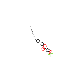 CCCCCCCCCC[C@H]1CC[C@H](c2ccc(OC(=O)c3ccc(OC(F)F)cc3)cc2)CC1